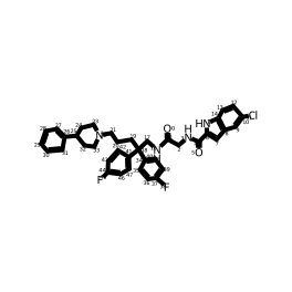 O=C(CNC(=O)c1cc2cc(Cl)ccc2[nH]1)NCC(CCCN1CCC(c2ccccc2)CC1)(c1ccc(F)cc1)c1ccc(F)cc1